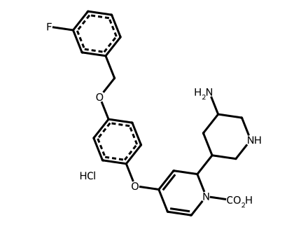 Cl.NC1CNCC(C2C=C(Oc3ccc(OCc4cccc(F)c4)cc3)C=CN2C(=O)O)C1